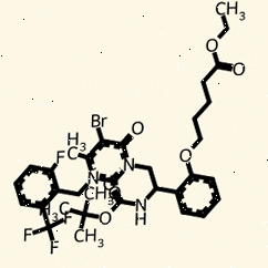 CCOC(=O)CCCCOc1ccccc1C(Cn1c(=O)c(Br)c(C)n(Cc2c(F)cccc2C(F)(F)F)c1=O)NC(=O)OC(C)(C)C